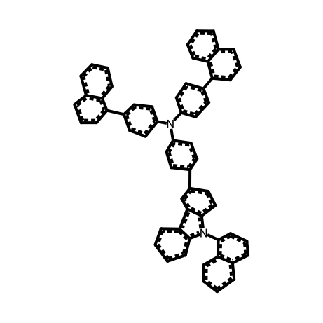 c1ccc2c(-c3ccc(N(c4ccc(-c5ccc6c(c5)c5ccccc5n6-c5cccc6ccccc56)cc4)c4ccc(-c5cccc6ccccc56)cc4)cc3)cccc2c1